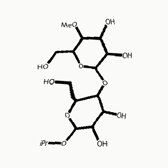 COC1C(CO)OC(OC2C(CO)OC(OC(C)C)C(O)C2O)C(O)C1O